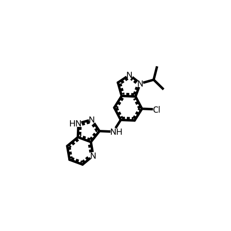 CC(C)n1ncc2cc(Nc3n[nH]c4cccnc34)cc(Cl)c21